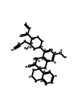 C=CC(=O)N1CCN(c2nc(OC)nc3c2NC(=O)C2(CCCc4ccccc42)C3)C[C@@]1(C)CC#N